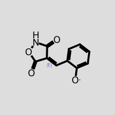 [O]c1ccccc1/C=C1\C(=O)NOC1=O